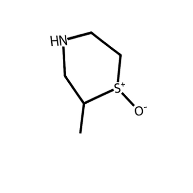 CC1CNCC[S+]1[O-]